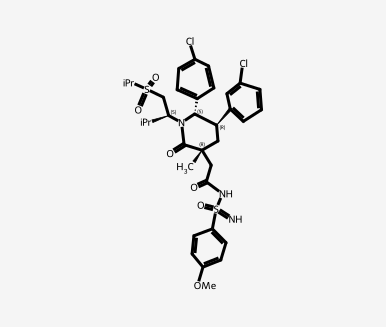 COc1ccc(S(=N)(=O)NC(=O)C[C@@]2(C)C[C@H](c3cccc(Cl)c3)[C@@H](c3ccc(Cl)cc3)N([C@H](CS(=O)(=O)C(C)C)C(C)C)C2=O)cc1